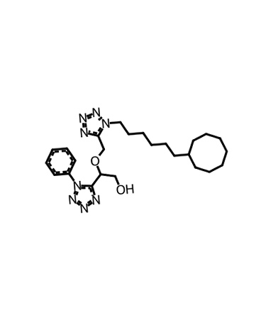 OCC(OCc1nnnn1CCCCCCC1CCCCCCC1)c1nnnn1-c1ccccc1